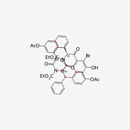 CCOC(=O)N(C(=O)OCc1ccccc1)[C@@H](Cc1ccc(OC(C)=O)cc1)C(=O)c1ccc(O)c(Br)c1C(=O)[C@H](Cc1ccc(OC(C)=O)cc1)N(C(=O)OCC)C(=O)OCc1ccccc1